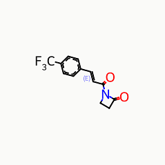 O=C(/C=C/c1ccc(C(F)(F)F)cc1)N1CCC1=O